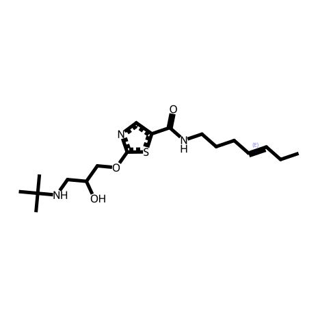 CC/C=C/CCCNC(=O)c1cnc(OCC(O)CNC(C)(C)C)s1